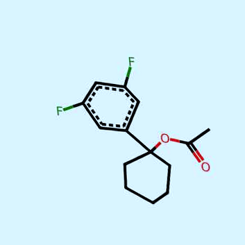 CC(=O)OC1(c2cc(F)cc(F)c2)CCCCC1